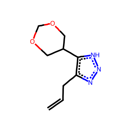 C=CCc1nn[nH]c1C1COCOC1